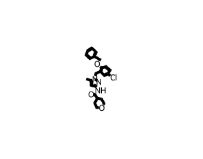 Cc1cc(NC(=O)C2CCOCC2)nn1Cc1cc(Cl)ccc1OCc1ccccc1